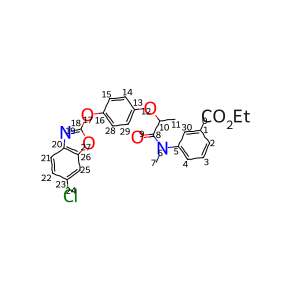 CCOC(=O)c1cccc(N(C)C(=O)C(C)Oc2ccc(Oc3nc4ccc(Cl)cc4o3)cc2)c1